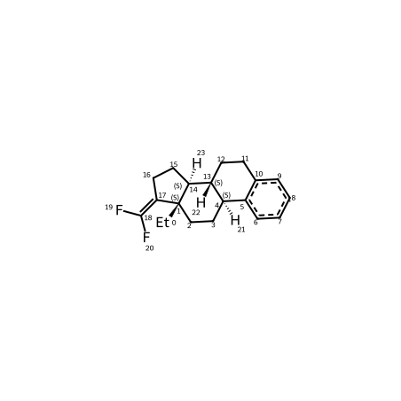 CC[C@]12CC[C@@H]3c4cc[c]cc4CC[C@H]3[C@@H]1CCC2=C(F)F